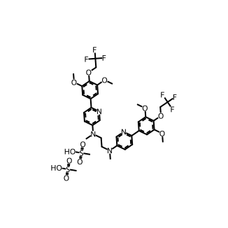 COc1cc(-c2ccc(N(C)CCN(C)c3ccc(-c4cc(OC)c(OCC(F)(F)F)c(OC)c4)nc3)cn2)cc(OC)c1OCC(F)(F)F.CS(=O)(=O)O.CS(=O)(=O)O